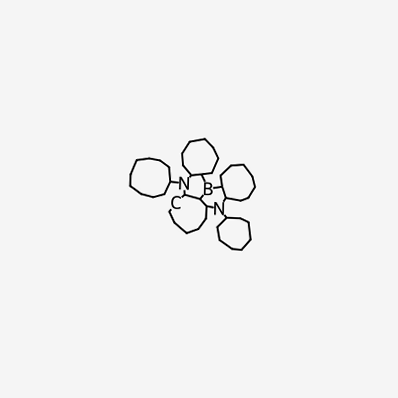 C1CCCCC(N2C3CCCCCCCC3B3C4CCCCCCCC4N(C4CCCCCCC4)C4CCCCCCC2C34)CCCC1